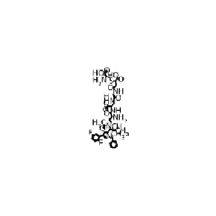 CC(=O)N(CCC(N)C(=O)NC(CNC(=O)CNC(=O)CC(SCC(N)C(=O)O)C(=O)O)C(=O)O)C(c1cc(-c2cc(F)ccc2F)cn1Cc1ccccc1)C(C)(C)C